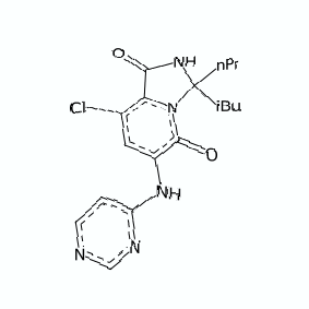 CCCC1(C(C)CC)NC(=O)c2c(Cl)cc(Nc3ccncn3)c(=O)n21